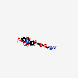 [N-]=[N+]=NCCOCCOCCOc1ccc2c(c1)C(=O)N(C1CCC(=O)NC1=O)C2=O